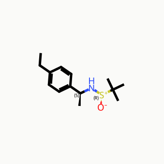 CCc1ccc([C@H](C)N[S@@+]([O-])C(C)(C)C)cc1